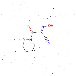 N#C/C(=N\O)C(=O)N1CCCCC1